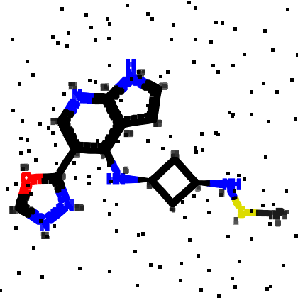 CCCSN[C@H]1C[C@@H](Nc2c(-c3nnco3)cnc3[nH]ccc23)C1